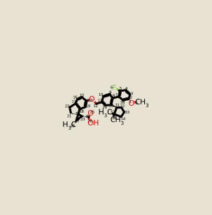 COc1ccc(F)c(-c2ccc(COc3ccc4c(c3)[C@@]3(CC4)[C@H](C(=O)O)[C@@H]3C)cc2[C@H]2CCCC2(C)C)c1